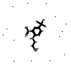 O=[N+]([O-])c1cc(C(F)(F)F)ccc1OCCO